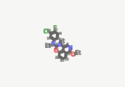 CCOc1ncc(N(CC)C(=O)N(CC)c2ccc(F)c(Cl)c2)c2ccccc12